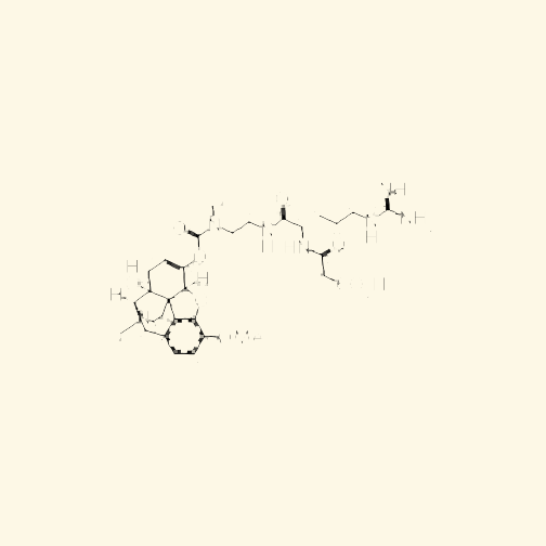 COc1ccc2c3c1O[C@H]1C(OC(=O)N(C)CCNC(=O)[C@H](CCCNC(=N)N)NC(=O)CC(=O)O)=CC[C@@]4(O)[C@@H](C2)N(C)CCC314